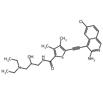 CCN(CC)CC(O)CNC(=O)c1sc(C#Cc2c(N)ncc3ccc(Cl)cc23)c(C)c1C